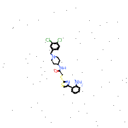 Nc1ccccc1-c1csc(SCC(=O)NC2CCN(Cc3ccc(Cl)c(Cl)c3)CC2)n1